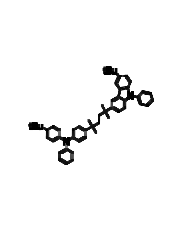 CC(C)(C)c1ccc(N(c2ccccc2)c2ccc(C(C)(C)CCC(C)(C)c3ccc4c(c3)c3cc(C(C)(C)C)ccc3n4-c3ccccc3)cc2)cc1